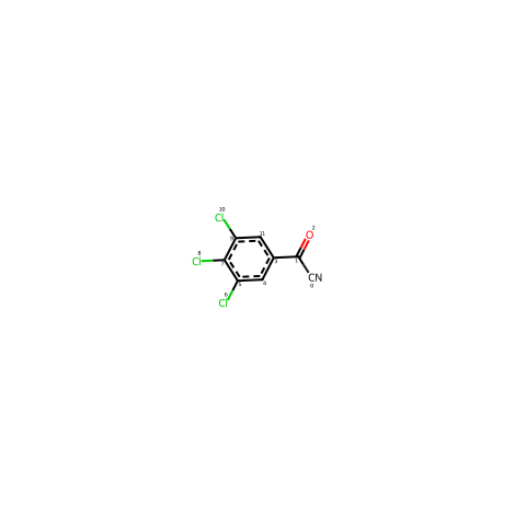 N#CC(=O)c1cc(Cl)c(Cl)c(Cl)c1